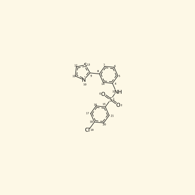 O=S(=O)(Nc1cccc(-c2nccs2)c1)c1ccc(Cl)cc1